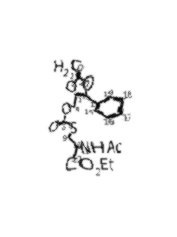 C=C1OC(COC(=O)SC[C@H](NC(C)=O)C(=O)OCC)=C(c2ccccc2)O1